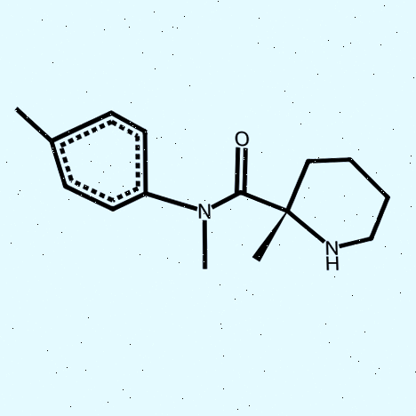 Cc1ccc(N(C)C(=O)[C@]2(C)CCCCN2)cc1